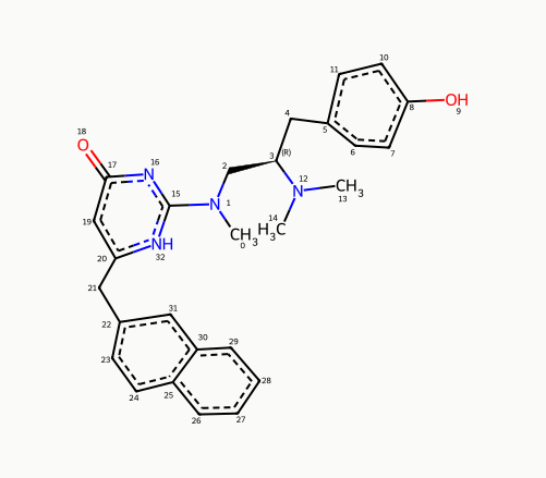 CN(C[C@@H](Cc1ccc(O)cc1)N(C)C)c1nc(=O)cc(Cc2ccc3ccccc3c2)[nH]1